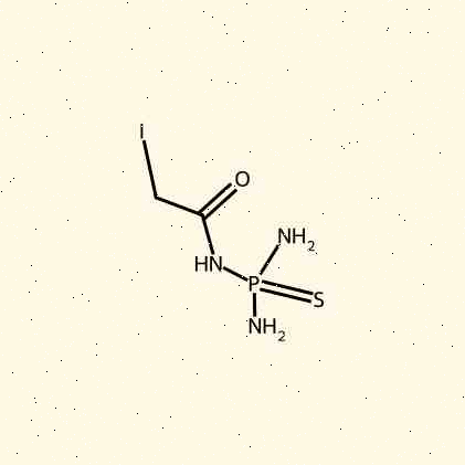 NP(N)(=S)NC(=O)CI